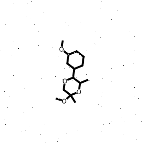 COC1CCCC(C2OCC(C)(OC)OC2C)C1